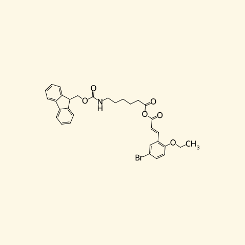 CCOc1ccc(Br)cc1C=CC(=O)OC(=O)CCCCCNC(=O)OCC1c2ccccc2-c2ccccc21